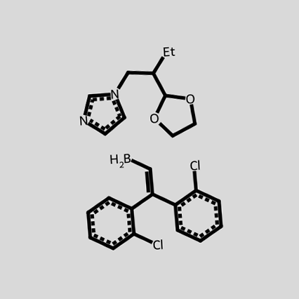 BC=C(c1ccccc1Cl)c1ccccc1Cl.CCC(Cn1ccnc1)C1OCCO1